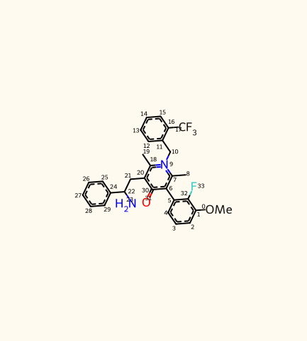 COc1cccc(-c2c(C)n(Cc3ccccc3C(F)(F)F)c(C)c(CC(N)c3ccccc3)c2=O)c1F